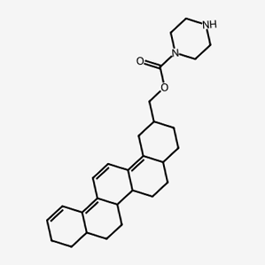 O=C(OCC1CCC2CCC3C(=C2C1)C=CC1=C2C=CCCC2CCC13)N1CCNCC1